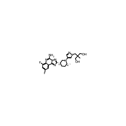 C[C@@H]1CC[C@H](c2nc3c4cc(F)cc(F)c4nc(N)n3n2)CN1c1cnn(CC(C)(CO)CO)c1